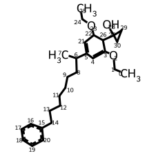 CCOC1=CC(C(C)CCCCCCCc2ccccc2)=CC(OCC)C1C1(O)CC1